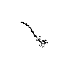 CCCCCCCCCCCCOC(=O)Cn1cc(C)c(=O)[nH]c1=O